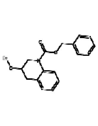 CCOC1Cc2ccccc2N(C(=O)OCc2ccccc2)C1